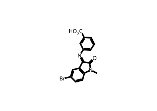 CN1C(=O)/C(=N\c2cccc(C(=O)O)c2)c2cc(Br)ccc21